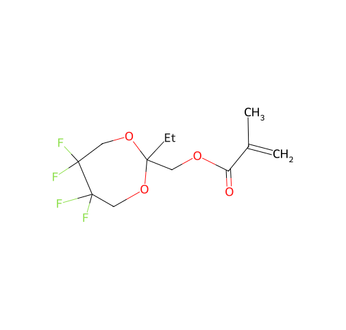 C=C(C)C(=O)OCC1(CC)OCC(F)(F)C(F)(F)CO1